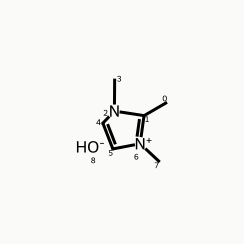 Cc1n(C)cc[n+]1C.[OH-]